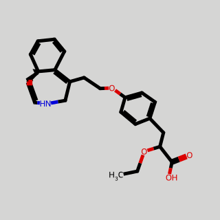 CCOC(Cc1ccc(OCCC2=C3C=CC=CC34CCC=CC4=CNC2)cc1)C(=O)O